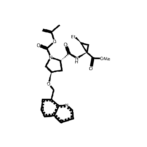 C=C(C)OC(=O)N1C[C@H](OCc2cccc3cccnc23)C[C@H]1C(=O)N[C@]1(C(=O)OC)C[C@@H]1CC